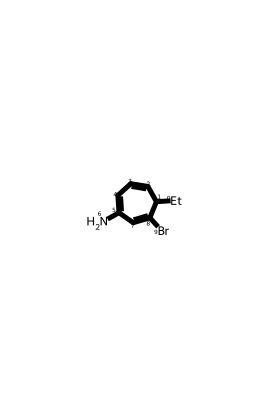 CCC1C=CC=C(N)C=C1Br